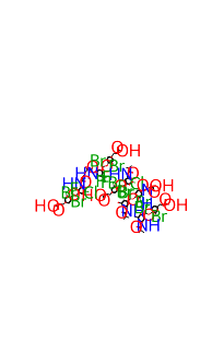 CC(C)C(=O)Nc1cc(COc2c(Br)cc(CCC(=O)O)cc2Br)cc(C(F)(F)F)c1.CC(C)C(=O)Nc1cc(Cl)cc(COc2c(Br)cc(CCC(=O)O)cc2Br)c1.CCC(=O)Nc1cc(Cl)cc(COc2c(Br)cc(CCC(=O)O)cc2Br)c1F.Cc1cc(COc2c(Br)cc(C(=O)NCC(=O)O)cc2Br)cc(NC(=O)C(C)C)c1.Cc1cc(COc2c(Br)cc(CCC(=O)O)cc2Br)cc(NC(=O)C(C)C)c1